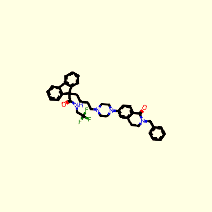 O=C1c2ccc(N3CCN(CCCCC4(C(=O)NCC(F)(F)F)c5ccccc5-c5ccccc54)CC3)cc2CCN1Cc1ccccc1